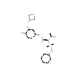 CC(=N)/C(=C(/C)Nc1cc(OC2CNC2)c(F)cn1)S(=O)(=O)Cc1ccccc1